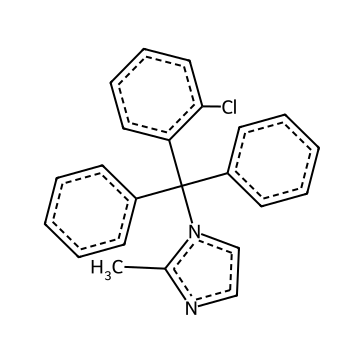 Cc1nccn1C(c1ccccc1)(c1ccccc1)c1ccccc1Cl